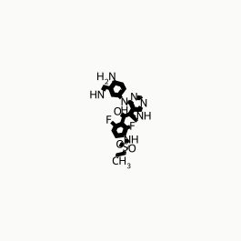 CCCS(=O)(=O)Nc1ccc(F)c(C(=O)c2c[nH]c3ncnc(Nc4ccc(N)c(C=N)c4)c23)c1F